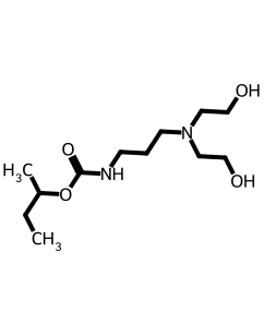 CCC(C)OC(=O)NCCCN(CCO)CCO